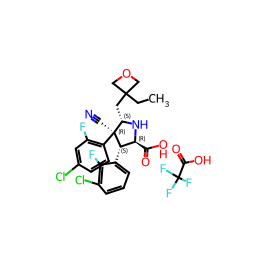 CCC1(C[C@@H]2N[C@@H](C(=O)O)[C@H](c3cccc(Cl)c3F)[C@@]2(C#N)c2ccc(Cl)cc2F)COC1.O=C(O)C(F)(F)F